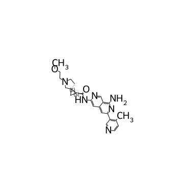 COCCN1CC[C@]2(C[C@@H]2C(=O)Nc2cc3cc(-c4cnccc4C)nc(N)c3cn2)C1